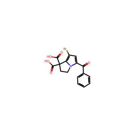 O=C(c1ccccc1)c1cc(Br)c2n1CCC2(C(=O)O)C(=O)O